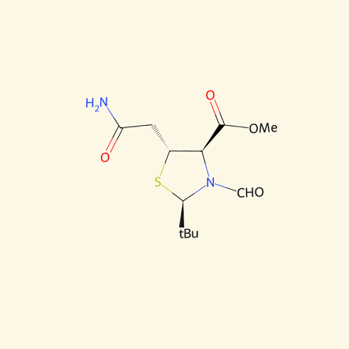 COC(=O)[C@@H]1[C@@H](CC(N)=O)S[C@H](C(C)(C)C)N1C=O